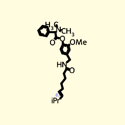 COc1cc(CNC(=O)CCCC/C=C/C(C)C)ccc1OC(=O)C(c1ccccc1)N(C)C